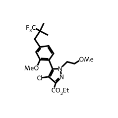 CCOC(=O)c1nn(CCOC)c(-c2ccc(CC(C)(C)C(F)(F)F)cc2OC)c1Cl